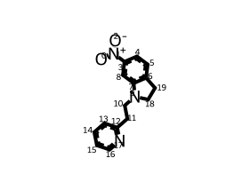 O=[N+]([O-])c1ccc2c(c1)N(CCc1ccccn1)CC2